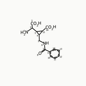 NC(C(=O)O)C1C(CNC(=O)c2ccccc2)C1C(=O)O